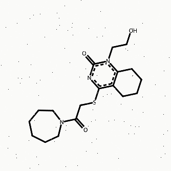 O=C(CSc1nc(=O)n(CCO)c2c1CCCC2)N1CCCCCC1